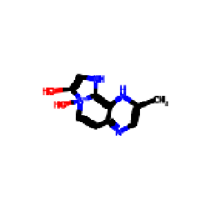 CC1=CN=C2C=C[N+]3(O)C(O)=CNC3=C2N1